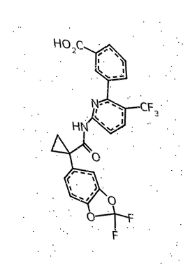 O=C(O)c1cccc(-c2nc(NC(=O)C3(c4ccc5c(c4)OC(F)(F)O5)CC3)ccc2C(F)(F)F)c1